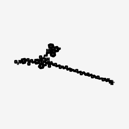 Cc1ccc(C(NCCCC[C@H](NC(=O)[C@H](Cc2ccccc2)NC(=O)CCOCCOCCOCCOCCOCCOCCOCCOCCOCCOCCN=[N+]=[N-])C(=O)Nc2ccc(COC(=O)Oc3ccc([N+](=O)[O-])cc3)cc2)(c2ccccc2)c2ccccc2)cc1